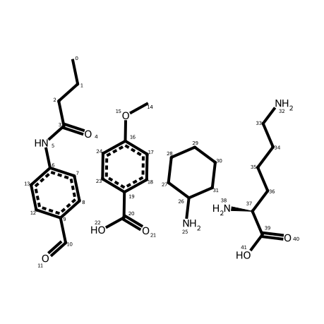 CCCC(=O)Nc1ccc(C=O)cc1.COc1ccc(C(=O)O)cc1.NC1CCCCC1.NCCCC[C@H](N)C(=O)O